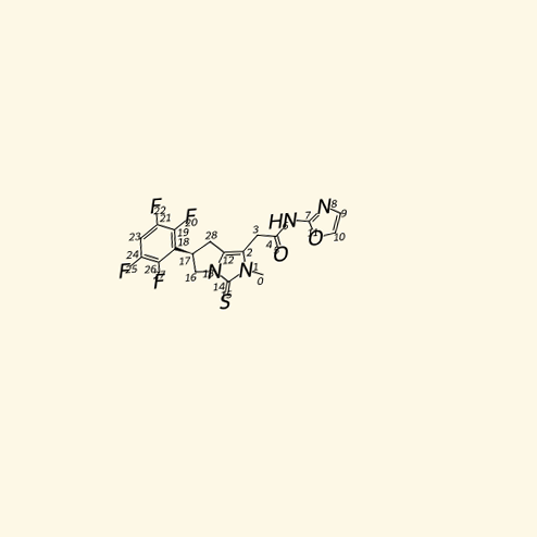 Cn1c(CC(=O)Nc2ncco2)c2n(c1=S)C[C@@H](c1c(F)c(F)cc(F)c1F)C2